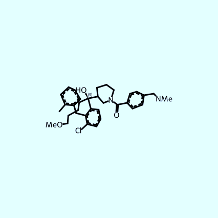 CNCc1ccc(C(=O)N2CCCC([C@@](O)(CCCCOC)c3cccc(Cl)c3Cc3ccccc3C)C2)cc1